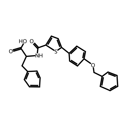 O=C(NC(Cc1ccccc1)C(=O)O)c1ccc(-c2ccc(OCc3ccccc3)cc2)s1